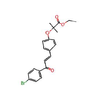 CCOC(=O)C(C)(C)Oc1ccc(C=CC(=O)c2ccc(Br)cc2)cc1